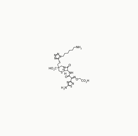 NCCCCCCn1nnnc1SCC1(C(=O)O)CS[C@@H]2C(NC(=O)C(=NOCC(=O)O)c3nsc(N)n3)C(=O)N2C1